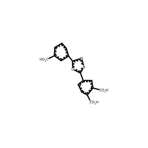 O=C(O)c1cccc(-c2nnc(-c3ccc(C(=O)O)c(C(=O)O)c3)o2)c1